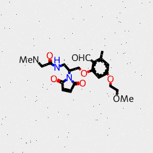 CNCC(=O)NCC(COc1cc(OCCOC)cc(C)c1C=O)N1C(=O)C=CC1=O